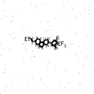 CCC=C[C@H]1CCc2c(ccc3c2CC[C@H](c2cc(F)c(C(F)(F)F)c(F)c2)C3)C1